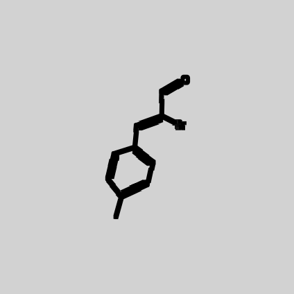 Cc1ccc(/C=C(\Br)C=O)cc1